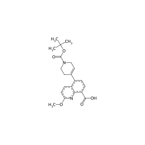 COc1ccc2c(C3=CCN(C(=O)OC(C)(C)C)CC3)ccc(C(=O)O)c2n1